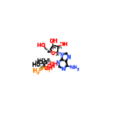 Nc1ncnc2c1ncn2[C@@H]1O[C@H](CO)[C@@H](O)[C@H]1O.O=S(=O)(O)O.O=S(=O)(O)O.O=S(=O)(O)O.P.P